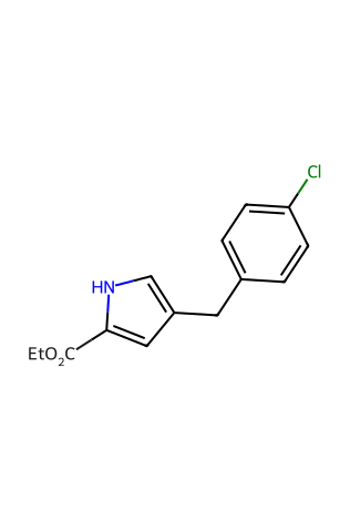 CCOC(=O)c1cc(Cc2ccc(Cl)cc2)c[nH]1